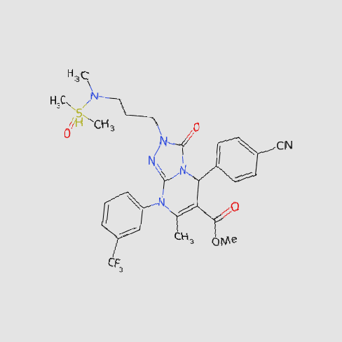 COC(=O)C1=C(C)N(c2cccc(C(F)(F)F)c2)c2nn(CCCN(C)[SH](C)(C)=O)c(=O)n2C1c1ccc(C#N)cc1